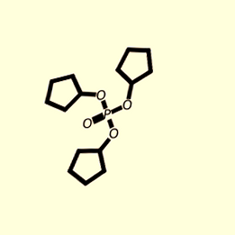 O=P(OC1CCCC1)(OC1CCCC1)OC1CCCC1